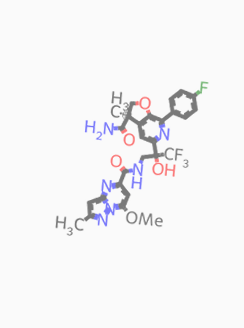 COc1cc(C(=O)NCC(O)(c2cc3c(c(-c4ccc(F)cc4)n2)OC[C@]3(C)C(N)=O)C(F)(F)F)nc2cc(C)nn12